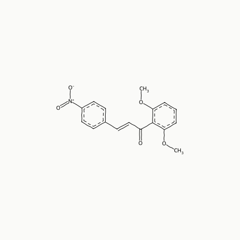 COc1cccc(OC)c1C(=O)C=Cc1ccc([N+](=O)[O-])cc1